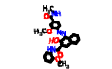 CNC(=O)c1ccc(/N=N/c2c(O)c(C(=O)Nc3ccccc3OC)cc3ccccc23)c(OC)c1